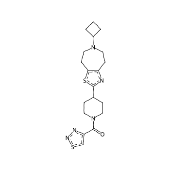 O=C(c1csnn1)N1CCC(c2nc3c(s2)CCN(C2CCC2)CC3)CC1